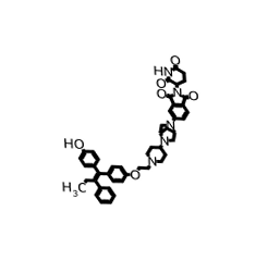 CCC(=C(c1ccc(O)cc1)c1ccc(OCCN2CCC(N3CC4CC3CN4c3ccc4c(c3)C(=O)N(C3CCC(=O)NC3=O)C4=O)CC2)cc1)c1ccccc1